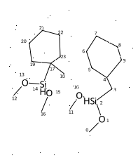 CO[SiH](CC1CCCCC1)OC.CO[SiH](OC)C1(C)CCCCC1